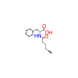 C#CCCCC(=O)N[C@@H](Cc1ccccc1)C(=O)O